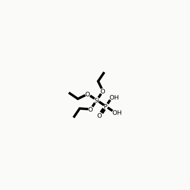 CCO[Si](OCC)(OCC)P(=O)(O)O